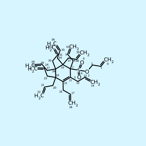 C=CCOS(=O)(=O)C1(CC=C)C(CC=C)=C(CC=C)C(CC=C)(CC=C)C(CC=C)(CC=C)C1(CC=C)CC=C